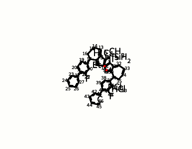 CCC1=[C]([Hf]([CH3])([CH3])(=[SiH2])[C]2=C(CC)C=C3C2=CC=CCC3c2ccc(-c3ccccc3)c(F)c2)C2=CC=CCC(c3ccc(-c4ccccc4)c(F)c3)C2=C1.Cl.Cl